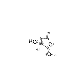 C=CC[C@](C)(O)C(=O)OC